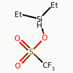 CC[SiH](CC)OS(=O)(=O)C(F)(F)F